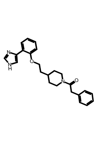 O=C(Cc1ccccc1)N1CCC(CCOc2ccccc2-c2c[nH]cn2)CC1